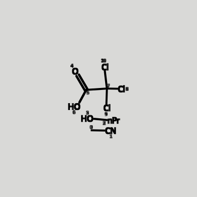 CC#N.CCCO.O=C(O)C(Cl)(Cl)Cl